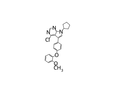 COc1ccccc1Oc1ccc(-c2cn(C3CCCC3)c3ncnc(Cl)c23)cc1